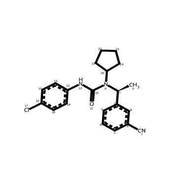 C[C@@H](c1cccc(C#N)c1)N(C(=O)Nc1ccc(Cl)cc1)C1CCCC1